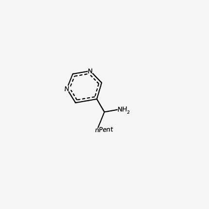 CCCCCC(N)c1cncnc1